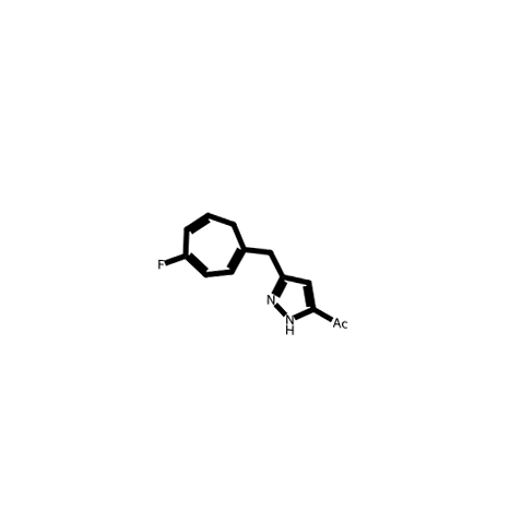 CC(=O)c1cc(CC2=CC=C(F)C=CC2)n[nH]1